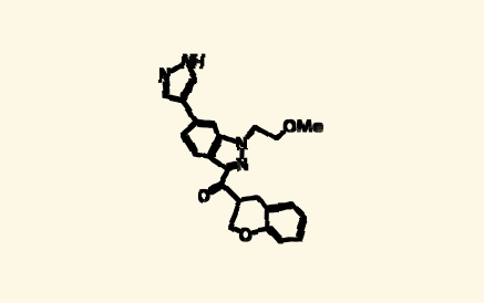 COCCn1nc(C(=O)C2COc3ccccc3C2)c2ccc(-c3cn[nH]c3)cc21